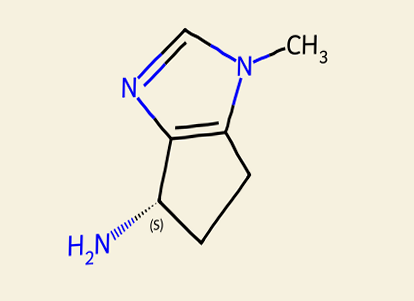 Cn1cnc2c1CC[C@@H]2N